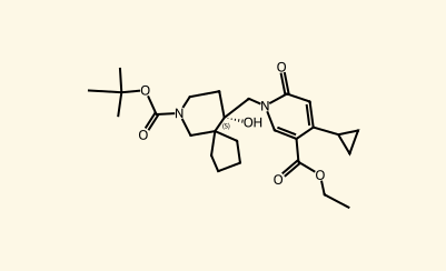 CCOC(=O)c1cn(C[C@]2(O)CCN(C(=O)OC(C)(C)C)CC23CCCC3)c(=O)cc1C1CC1